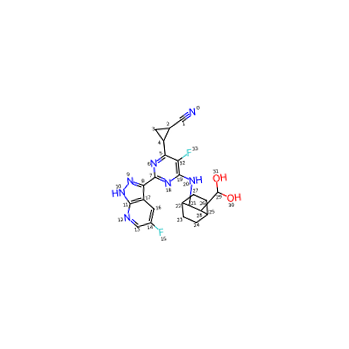 N#CC1CC1c1nc(-c2n[nH]c3ncc(F)cc23)nc(NC2C3CCC(CC3)C2C(O)O)c1F